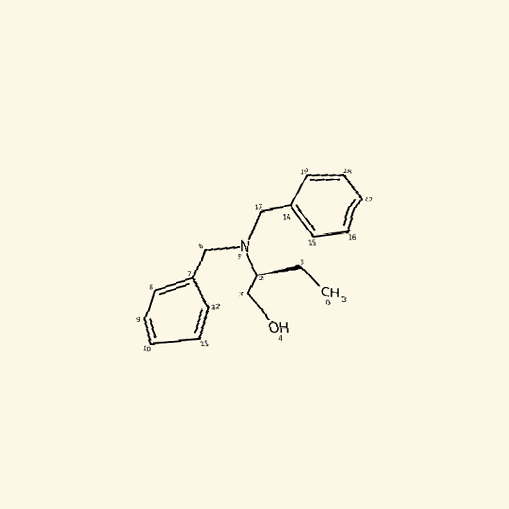 CC[C@@H](CO)N(Cc1ccccc1)Cc1ccccc1